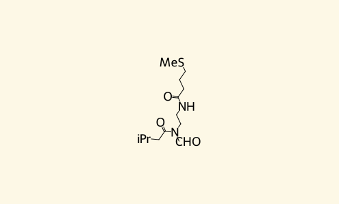 CSCCCC(=O)NCCN(C=O)C(=O)CC(C)C